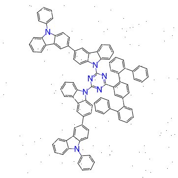 c1ccc(-c2ccccc2-c2ccc(-c3ccccc3-c3ccccc3)c(-c3nc(-n4c5ccccc5c5cc(-c6ccc7c(c6)c6ccccc6n7-c6ccccc6)ccc54)nc(-n4c5ccccc5c5cc(-c6ccc7c(c6)c6ccccc6n7-c6ccccc6)ccc54)n3)c2)cc1